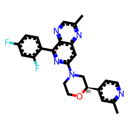 Cc1cc([C@@H]2CN(c3cc4nc(C)cnc4c(-c4ccc(F)cc4F)n3)CCO2)ccn1